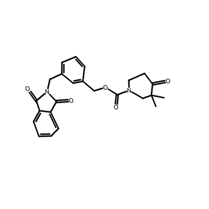 CC1(C)CN(C(=O)OCc2cccc(CN3C(=O)c4ccccc4C3=O)c2)CCC1=O